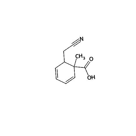 CC1(C(=O)O)C=CC=CC1CC#N